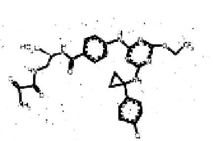 NC(=O)C(=O)NC[C@H](NC(=O)c1ccc(Nc2nc(NC3(c4ccc(Cl)cc4)CC3)nc(OCC(F)(F)F)n2)cc1)C(=O)O